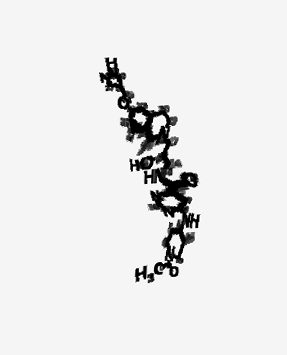 CC(=O)N1CCC(Nc2cc(C(=O)NC[C@H](O)CN3CCc4cc(OCc5cn[nH]c5)ccc4C3)ncn2)CC1